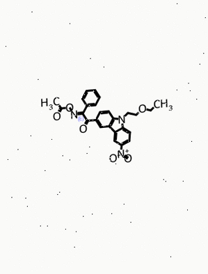 CCOCCn1c2ccc(C(=O)/C(=N/OC(C)=O)c3ccccc3)cc2c2cc([N+](=O)[O-])ccc21